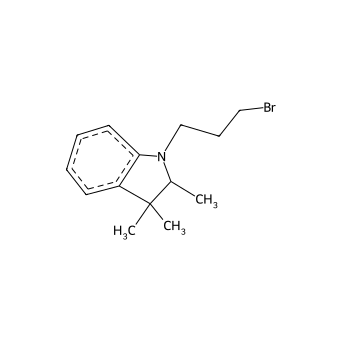 CC1N(CCCBr)c2ccccc2C1(C)C